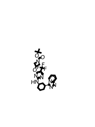 CC(C)(C)OC(=O)N1CC(Oc2nc(N[C@@H]3CCC[C@H](c4nnc5ccccn45)C3)ncc2C(F)(F)F)C1